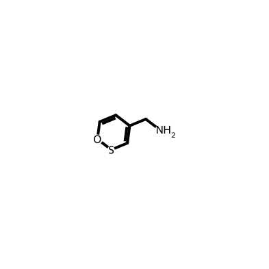 NCC1=CSOC=C1